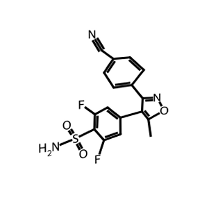 Cc1onc(-c2ccc(C#N)cc2)c1-c1cc(F)c(S(N)(=O)=O)c(F)c1